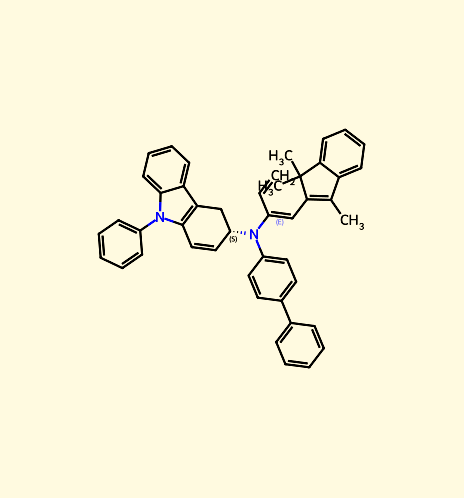 C=C/C(=C\C1=C(C)c2ccccc2C1(C)C)N(c1ccc(-c2ccccc2)cc1)[C@@H]1C=Cc2c(c3ccccc3n2-c2ccccc2)C1